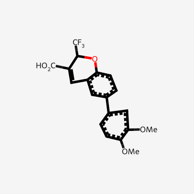 COc1ccc(-c2ccc3c(c2)C=C(C(=O)O)C(C(F)(F)F)O3)cc1OC